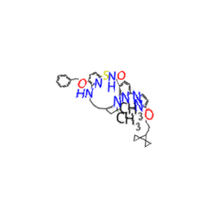 CC1(C)CC2CCCNc3nc(ccc3OCc3ccccc3)SNC(=O)c3ccc(-n4ccc(OCCC5C6(CC6)C56CC6)n4)nc3N1C2